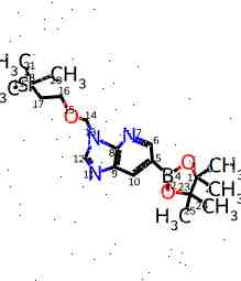 CC1(C)OB(c2cnc3c(c2)ncn3COCC[Si](C)(C)C)OC1(C)C